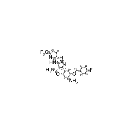 NC(=O)c1c(-c2ccc(N)c(OCc3ccc(F)cc3)c2)n[nH]c1Nc1cccc(C(F)(F)F)n1